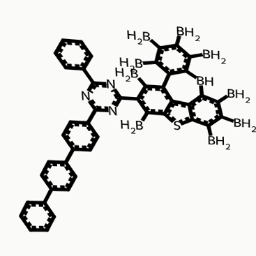 Bc1c(B)c(B)c2c(c1B)Bc1c(B)c(B)c(B)c3sc4c(B)c(-c5nc(-c6ccccc6)nc(-c6ccc(-c7ccc(-c8ccccc8)cc7)cc6)n5)c(B)c-2c4c13